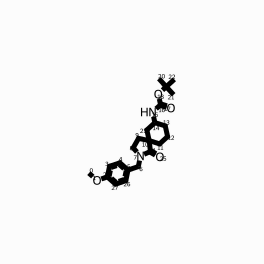 COc1ccc(CN2CCC3(CCCC(NC(=O)OC(C)(C)C)C3)C2=O)cc1